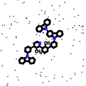 Cc1c(-c2cccc(-n3c4ccccc4c4cc(-n5c6ccccc6c6ccccc65)ccc43)c2)cccc1-c1nccc(-c2cccc(-n3c4ccccc4c4ccccc43)c2)c1C